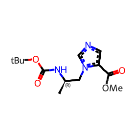 COC(=O)c1cncn1C[C@@H](C)NC(=O)OC(C)(C)C